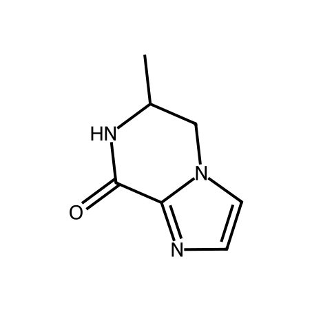 CC1Cn2ccnc2C(=O)N1